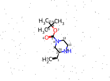 C=C[C@H]1CN(C(=O)OC(C)(C)C)CCN1